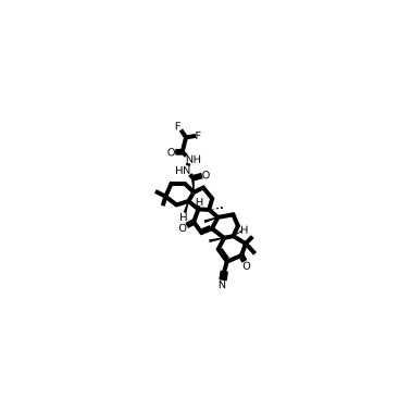 CC1(C)CC[C@]2(C(=O)NNC(=O)C(F)F)CC[C@]3(C)[C@H](C(=O)C=C4[C@@]5(C)C=C(C#N)C(=O)C(C)(C)[C@@H]5CC[C@]43C)[C@@H]2C1